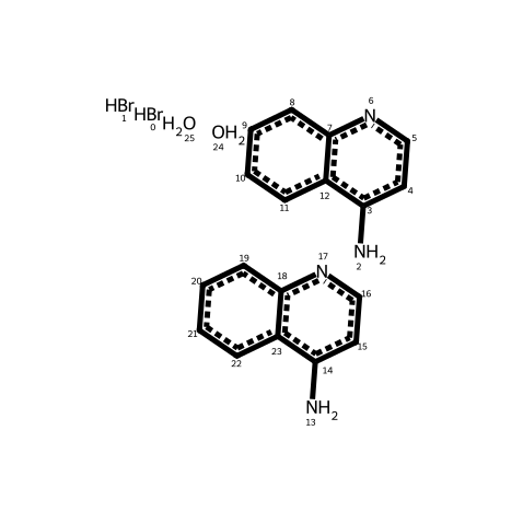 Br.Br.Nc1ccnc2ccccc12.Nc1ccnc2ccccc12.O.O